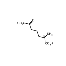 N[C@@H](CCCC(=O)C(=O)O)C(=O)O